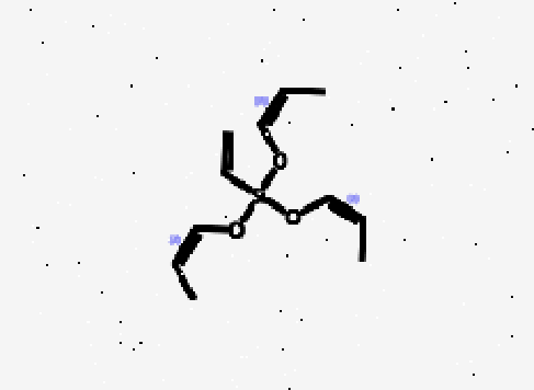 C=C[Si](O/C=C\C)(O/C=C\C)O/C=C\C